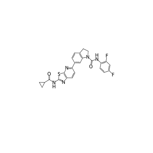 O=C(Nc1nc2ccc(-c3ccc4c(c3)N(C(=O)Nc3ccc(F)cc3F)CC4)nc2s1)C1CC1